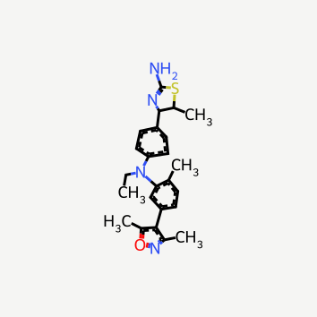 CCN(c1ccc(C2N=C(N)SC2C)cc1)c1cc(-c2c(C)noc2C)ccc1C